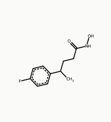 CC(CCC(=O)NO)c1ccc(F)cc1